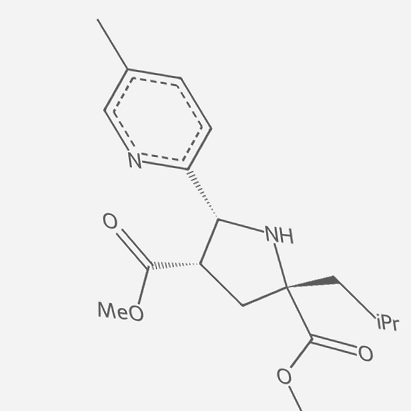 COC(=O)[C@H]1C[C@@](CC(C)C)(C(=O)OC(C)(C)C)N[C@H]1c1ccc(C)cn1